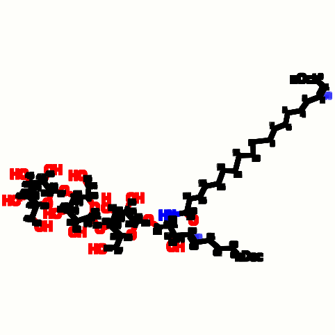 CCCCCCCC/C=C\CCCCCCCCCCCCCCCC(=O)N[C@@H](CO[C@@H]1OC(CO)[C@@H](O[C@@H]2OC(CO)[C@H](O[C@@H]3OC(CO)[C@H](O)[C@H](O)C3O)[C@H](O)C2O)[C@H](O)C1O)[C@H](O)/C=C/CCCCCCCCCCCCC